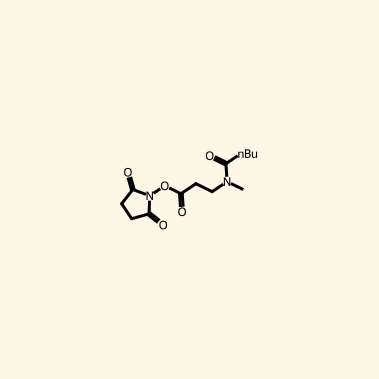 CCCCC(=O)N(C)CCC(=O)ON1C(=O)CCC1=O